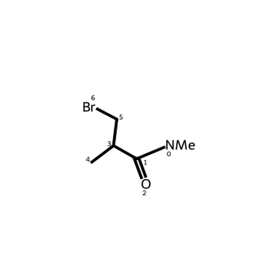 CNC(=O)C(C)CBr